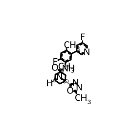 Cc1nnc([C@]23C[C@H](C)C[C@H](C2)N3C(=O)Nc2cc(-c3cncc(F)c3)c(C)cc2F)o1